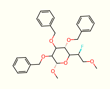 COC[C@H](F)C1O[C@H](OC)C(OCc2ccccc2)C(OCc2ccccc2)[C@@H]1OCc1ccccc1